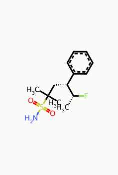 C[C@@H](F)[C@H](CC(C)(C)S(N)(=O)=O)c1ccccc1